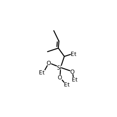 CC=C(C)C(CC)[Si](OCC)(OCC)OCC